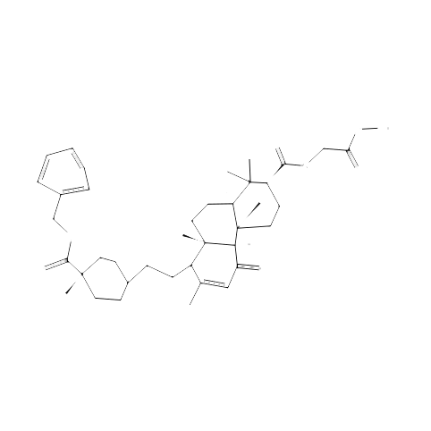 CC1=CC(=O)[C@@H]2[C@@]3(C)CC[C@H](C(=O)NCC(=O)OC(C)(C)C)C(C)(C)[C@@H]3CC[C@@]2(C)[C@]1(C)CC[C@]1(C)CC[C@@](C)(C(=O)OCc2ccccc2)CC1